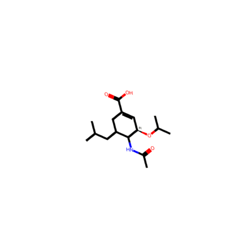 CC(=O)NC1C(CC(C)C)CC(C(=O)O)=C[C@H]1OC(C)C